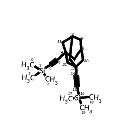 C[Si](C)(C)C#CC12CC3CC(C1)CC(C#C[Si](C)(C)C)(C3)C2